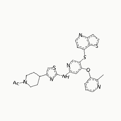 CC(=O)N1CCC(c2csc(Nc3cc(Oc4cccnc4C)c(Sc4ccnc5ccsc45)cn3)n2)CC1